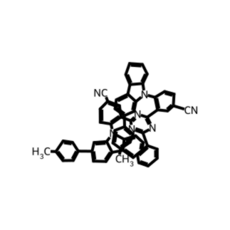 Cc1ccc(-c2ccc3c4ccccc4n(-c4ccc(C#N)cc4-c4nc(-c5ccccc5)nc(-c5cc(C#N)ccc5-n5c6ccccc6c6ccc(-c7ccc(C)cc7)cc65)n4)c3c2)cc1